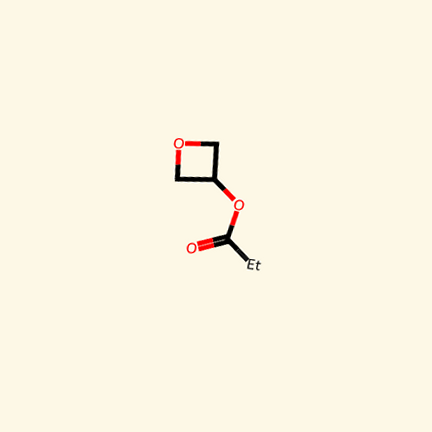 [CH2]CC(=O)OC1COC1